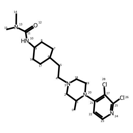 CC1CN(CCC2CCC(NC(=O)N(C)C)CC2)CCN1c1ccnc(Cl)c1Cl